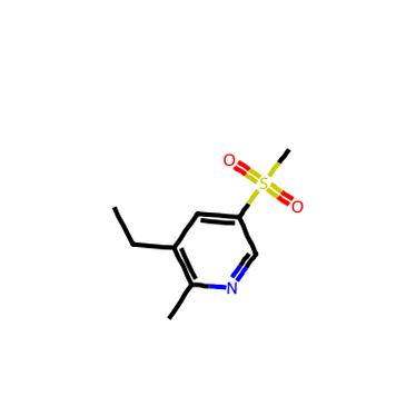 CCc1cc(S(C)(=O)=O)cnc1C